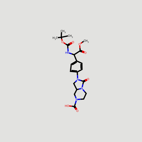 COC(=O)C(NC(=O)OC(C)(C)C)c1ccc(N2CC3CN(C(=O)O)CCN3C2=O)cc1